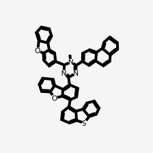 CN1C(c2ccc3c(ccc4ccccc43)c2)=NC(c2ccc(-c3cccc4sc5ccccc5c34)c3oc4ccccc4c23)=NC1c1ccc2oc3ccccc3c2c1